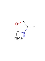 CNC1(C)NC(C)CO1